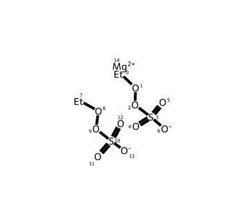 CCOOS(=O)(=O)[O-].CCOOS(=O)(=O)[O-].[Mg+2]